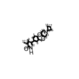 Cc1c(-c2ccc3c(c2)COC2(CCN(C4CCC4)CC2)O3)c[nH]c(=O)c1C